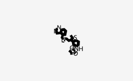 Cc1sc2ccc(NS(=O)(=O)C(C)C)cc2c1CCN(C)Cc1cccc2ncncc12